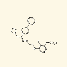 O=C(O)Cc1cccc(OCCON=C(CC2CCC2)c2ccc(-c3ccccc3)cc2)c1F